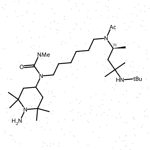 CNC(=O)N(CCCCCCN(C(C)=O)[C@@H](C)CC(C)(C)NC(C)(C)C)C1CC(C)(C)N(N)C(C)(C)C1